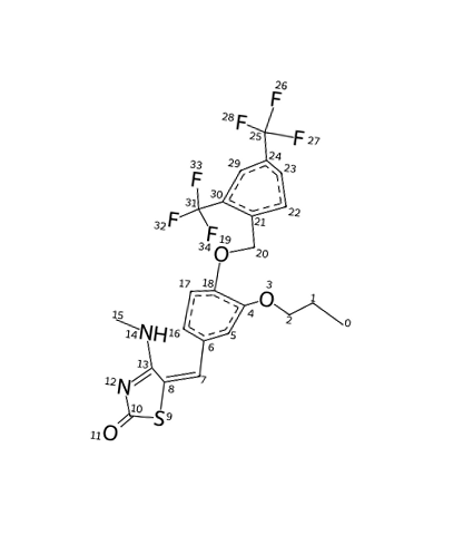 CCCOc1cc(C=C2SC(=O)N=C2NC)ccc1OCc1ccc(C(F)(F)F)cc1C(F)(F)F